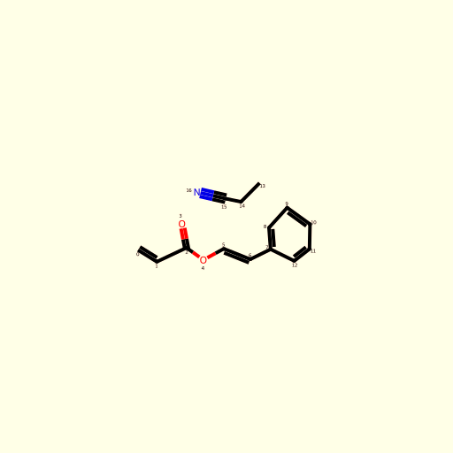 C=CC(=O)OC=Cc1ccccc1.CCC#N